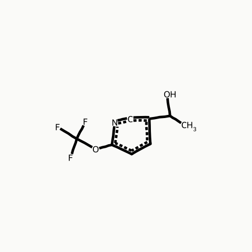 CC(O)c1ccc(OC(F)(F)F)nc1